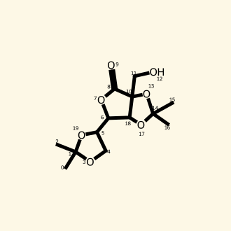 CC1(C)OCC(C2OC(=O)C3(CO)OC(C)(C)OC23)O1